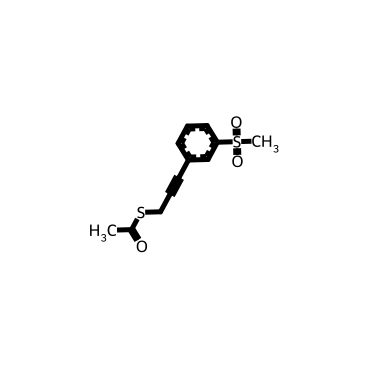 CC(=O)SCC#Cc1cccc(S(C)(=O)=O)c1